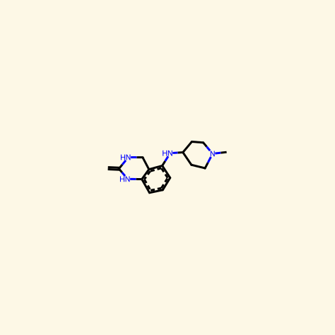 C=C1NCc2c(cccc2NC2CCN(C)CC2)N1